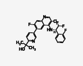 CC(C)(O)c1ccc(-c2cc3c(N[C@@H](c4ccccc4F)C(F)F)c(Cl)cnc3cc2F)cn1